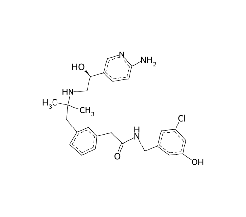 CC(C)(Cc1cccc(CC(=O)NCc2cc(O)cc(Cl)c2)c1)NC[C@@H](O)c1ccc(N)nc1